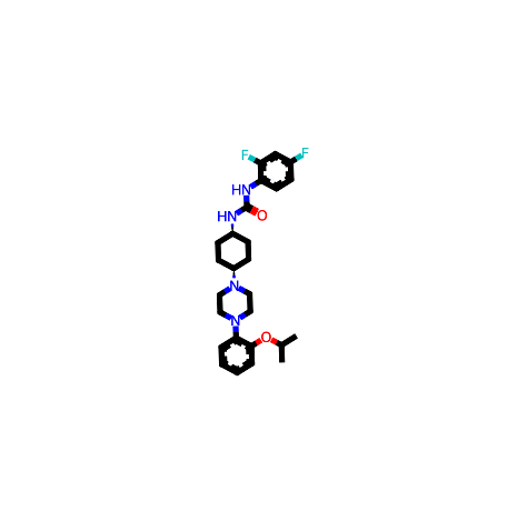 CC(C)Oc1ccccc1N1CCN([C@H]2CC[C@@H](NC(=O)Nc3ccc(F)cc3F)CC2)CC1